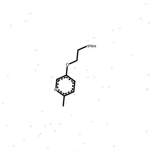 CCCCCCCCOc1ccc(C)nc1